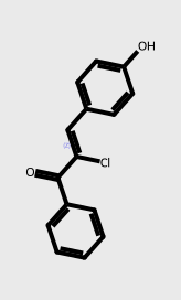 O=C(/C(Cl)=C/c1ccc(O)cc1)c1ccccc1